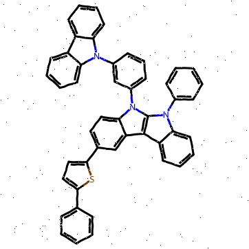 c1ccc(-c2ccc(-c3ccc4c(c3)c3c5ccccc5n(-c5ccccc5)c3n4-c3cccc(-n4c5ccccc5c5ccccc54)c3)s2)cc1